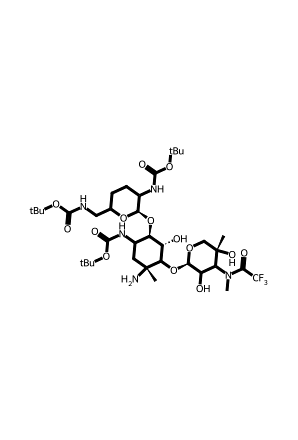 CN(C(=O)C(F)(F)F)C1C(O)[C@@H](OC2[C@@H](O)[C@H](O[C@H]3OC(CNC(=O)OC(C)(C)C)CCC3NC(=O)OC(C)(C)C)C(NC(=O)OC(C)(C)C)C[C@@]2(C)N)OC[C@]1(C)O